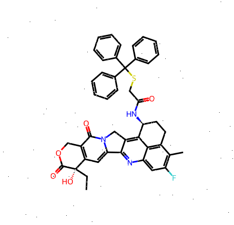 CC[C@@]1(O)C(=O)OCc2c1cc1n(c2=O)Cc2c-1nc1cc(F)c(C)c3c1c2[C@@H](NC(=O)CSC(c1ccccc1)(c1ccccc1)c1ccccc1)CC3